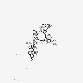 CC[C@H]1OC(=O)[C@H](C)[C@@H](O[C@@H]2C[C@](C)(OC)[C@H](O)[C@@H](C)O2)[C@H](C)C(O[C@@H]2O[C@H](C)C[C@@H](N(C)C)[C@H]2O)[C@]2(O)C[C@@]2(C)CN(CCCNC(=O)[C@@]2(OC)CCC3C4CCC5=CC(=O)CC[C@]5(C)C4[C@@H](O)C[C@@]32C)[C@H](C)[C@@H](O)[C@]1(C)O